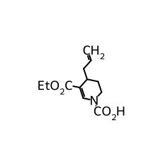 C=CCC1CCN(C(=O)O)C=C1C(=O)OCC